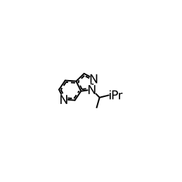 CC(C)C(C)n1ncc2ccncc21